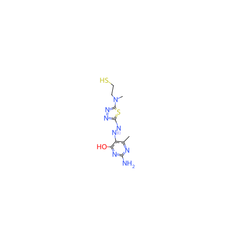 Cc1nc(N)nc(O)c1/N=N/c1nnc(N(C)CCS)s1